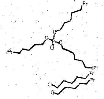 CC(C)CCCCCCl.CC(C)CCCCCCl.CC(C)CCCCCOP(=O)(OCCCCCC(C)C)OCCCCCC(C)C